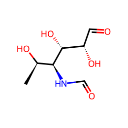 C[C@@H](O)[C@H](NC=O)[C@H](O)[C@@H](O)C=O